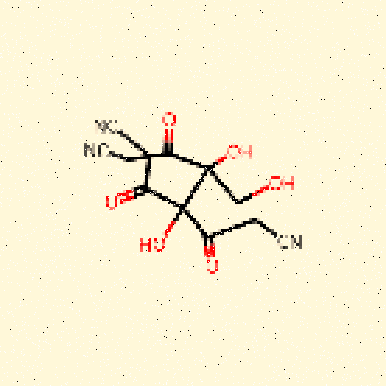 N#CCC(=O)C(O)(CO)C(O)(C(=O)CC#N)C(=O)CC#N